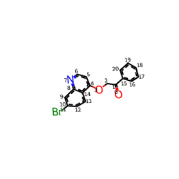 O=C(COc1ccnc2cc(Br)ccc12)c1ccccc1